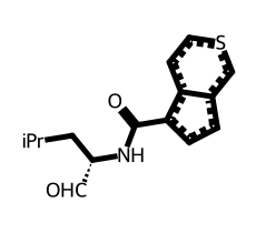 CC(C)C[C@@H](C=O)NC(=O)c1ccc2csccc1-2